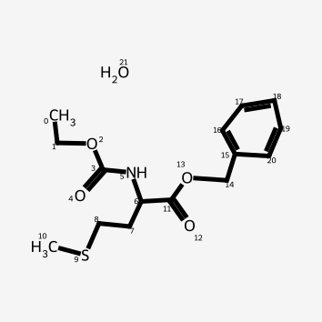 CCOC(=O)NC(CCSC)C(=O)OCc1ccccc1.O